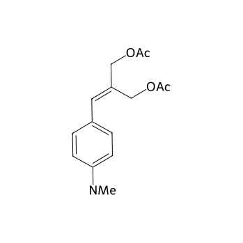 CNc1ccc(C=C(COC(C)=O)COC(C)=O)cc1